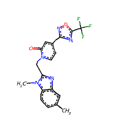 Cc1ccc2c(c1)nc(Cn1ccc(-c3noc(C(F)(F)F)n3)cc1=O)n2C